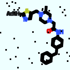 CC(=O)Nc1ncc(CN2CCN(CC(=O)Nc3ccc(Cc4ccccc4)cc3)CC2C)s1